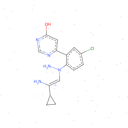 N/C(=C\N(N)c1ccc(Cl)cc1-c1cc(O)ncn1)C1CC1